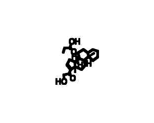 CCC(=O)O.C[C@]12CCCCC1CC[C@@H]1[C@@H]2CC[C@]2(C)C(C(=O)CO)=CC[C@@H]12